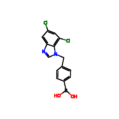 OB(O)c1ccc(Cn2cnc3cc(Cl)cc(Cl)c32)cc1